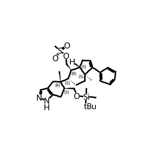 CC(C)(C)[Si](C)(C)OC[C@H]1Cc2[nH]ncc2C[C@]1(C)[C@H]1CC[C@]2(C)C(c3ccccc3)=CC[C@H]2[C@@H]1COS(C)(=O)=O